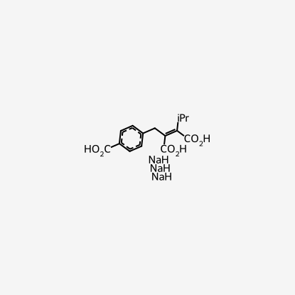 CC(C)/C(C(=O)O)=C(\Cc1ccc(C(=O)O)cc1)C(=O)O.[NaH].[NaH].[NaH]